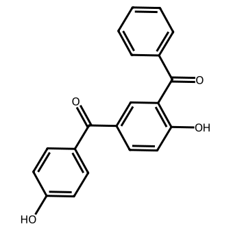 O=C(c1ccc(O)cc1)c1ccc(O)c(C(=O)c2ccccc2)c1